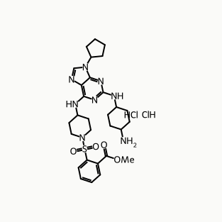 COC(=O)c1ccccc1S(=O)(=O)N1CCC(Nc2nc(NC3CCC(N)CC3)nc3c2ncn3C2CCCC2)CC1.Cl.Cl